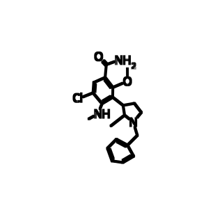 CNc1c(Cl)cc(C(N)=O)c(OC)c1C1CCN(Cc2ccccc2)C1C